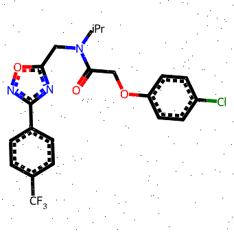 CC(C)N(Cc1nc(-c2ccc(C(F)(F)F)cc2)no1)C(=O)COc1ccc(Cl)cc1